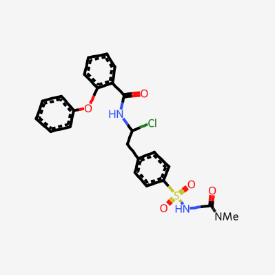 CNC(=O)NS(=O)(=O)c1ccc(CC(Cl)NC(=O)c2ccccc2Oc2ccccc2)cc1